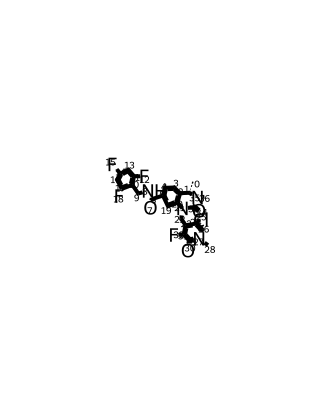 C[C@H]1c2ccc(C(=O)NCc3c(F)cc(F)cc3F)cc2N(Cc2c(Cl)cn(C)c(=O)c2F)C(=O)N1C